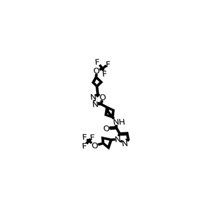 O=C(NC12CC(c3nnc(C4CC(OC(F)(F)F)C4)o3)(C1)C2)c1ccnn1C1CC(OC(F)(F)F)C1